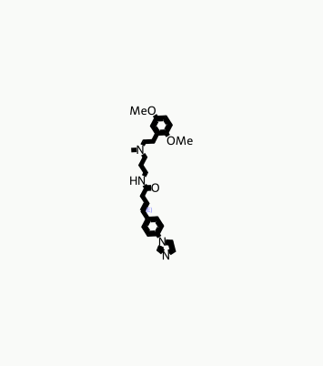 COc1ccc(OC)c(CCN(C)CCCNC(=O)C/C=C/c2ccc(-n3ccnc3)cc2)c1